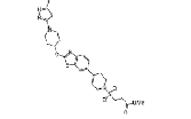 COC(=O)CCS(=O)(=O)N1CC=C(c2ccc3nc(OC4CCN(c5nnc(C)s5)CC4)sc3c2)CC1